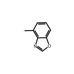 [CH2]c1cccc2ocnc12